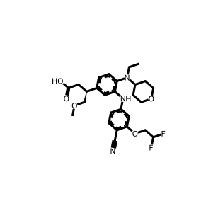 CCN(c1ccc([C@@H](COC)CC(=O)O)cc1Nc1ccc(C#N)c(OCC(F)F)c1)C1CCOCC1